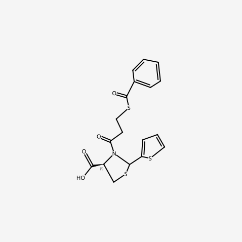 O=C(SCCC(=O)N1C(c2cccs2)SC[C@H]1C(=O)O)c1ccccc1